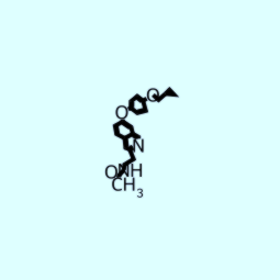 CC(=O)NCCc1cc2ccc(Oc3ccc(OCC4CC4)cc3)cc2cn1